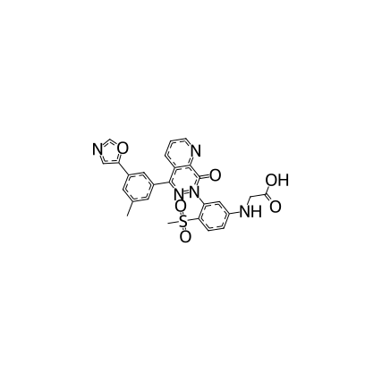 Cc1cc(-c2cnco2)cc(-c2nn(-c3cc(NCC(=O)O)ccc3S(C)(=O)=O)c(=O)c3ncccc23)c1